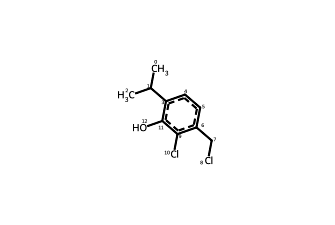 CC(C)c1ccc(CCl)c(Cl)c1O